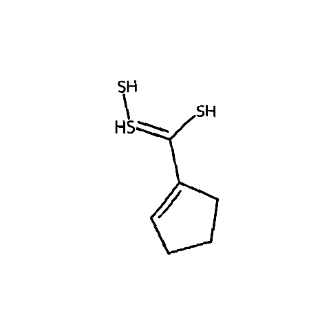 S[SH]=C(S)C1=CCCC1